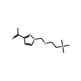 CC(=O)c1ccn(COCC[Si](C)(C)C)n1